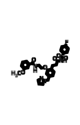 COc1cccc(C(=O)NCCOc2cc(Cn3cccn3)ccc2CCC(=O)NS(=O)(=O)c2ccc(F)cc2)c1